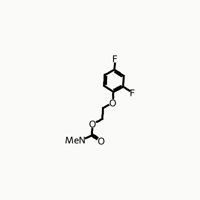 CNC(=O)OCCOc1ccc(F)cc1F